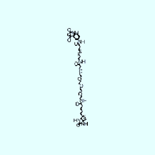 O=C(CCCCC1SCC2NC(=O)NC21)NCCOCCOCCOCCOCCC(=O)NCCSSCCC(=O)Nc1ccc2[nH]c(=O)oc(=O)c2c1